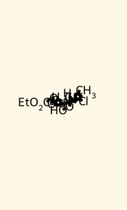 CCOC(=O)CS(=O)(=O)c1ccc([C@@H](CO)NC(=O)c2cc3c(Cl)cc(C)cc3n2C)cc1